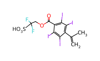 C=C(C)c1c(I)c(I)c(C(=O)OCC(F)(F)S(=O)(=O)O)c(I)c1I